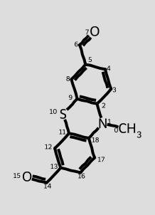 CN1c2ccc(C=O)cc2Sc2cc(C=O)ccc21